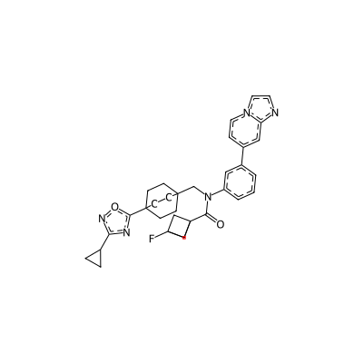 O=C(N(CC12CCC(c3nc(C4CC4)no3)(CC1)CC2)c1cccc(-c2ccn3ccnc3c2)c1)C12CC(F)(C1)C2